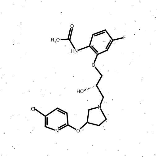 CC(=O)Nc1ccc(F)cc1OC[C@@H](O)CN1CCC(Oc2ccc(Cl)cn2)C1